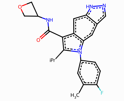 Cc1cc(-n2c(C(C)C)c(C(=O)NC3COC3)c3cc4[nH]ncc4cc32)ccc1F